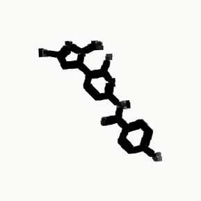 CCc1cc(-c2ccc(NC(=O)c3ccc(Cl)cc3)nc2F)n(CC)n1